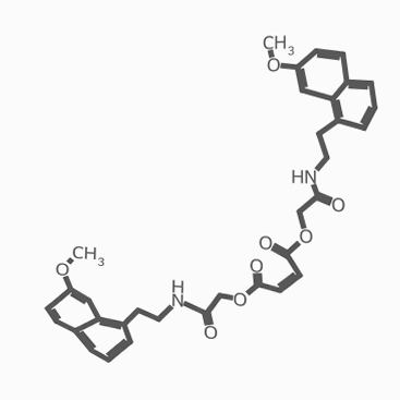 COc1ccc2cccc(CCNC(=O)COC(=O)/C=C\C(=O)OCC(=O)NCCc3cccc4ccc(OC)cc34)c2c1